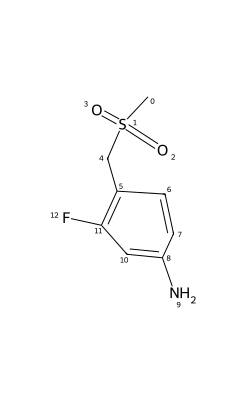 CS(=O)(=O)Cc1ccc(N)cc1F